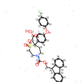 O=C(O)CC1(c2ccc(Oc3ccc(F)cc3)cc2)CCN(C(=O)OCC2c3ccccc3-c3ccccc32)CCS1(=O)=O